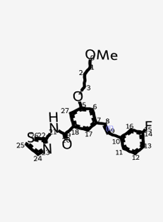 COCCCOc1cc(/C=C/c2cccc(F)c2)cc(C(=O)Nc2nccs2)c1